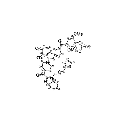 CCCC(=O)Oc1c(OC)cc(C(=O)N2CCC(CCN3CCC(C(=O)c4nc5ccccc5n4CCOCc4ccco4)CC3)(c3ccc(Cl)c(Cl)c3)C2)cc1OC